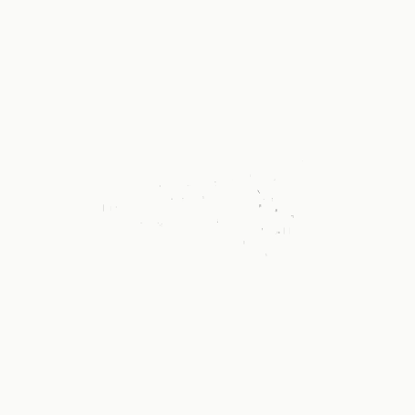 CCc1ccc(C(C)(C)c2cc(O)c3c(c2)OC(C)(C)[C@@H]2CC=C(C)C[C@@H]32)cc1